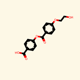 O=C(O)c1ccc(OC(=O)c2ccc(OCCO)cc2)cc1